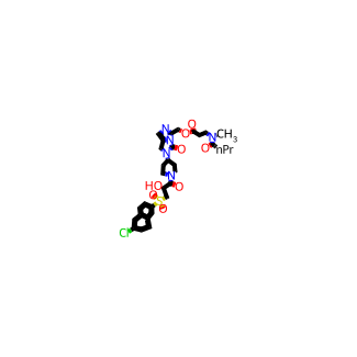 CCCC(=O)N(C)CCC(=O)OCc1ncc2n1C(=O)N(C1CCN(C(=O)[C@H](O)CS(=O)(=O)c3ccc4cc(Cl)ccc4c3)CC1)C2